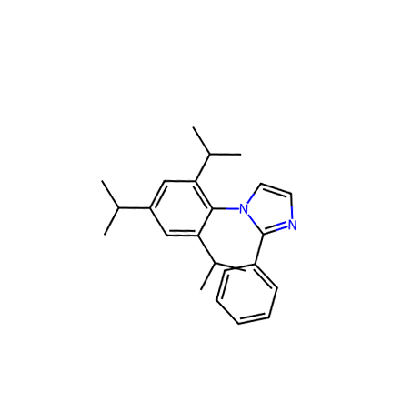 CC(C)c1cc(C(C)C)c(-n2ccnc2-c2ccccc2)c(C(C)C)c1